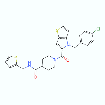 O=C(NCc1cccs1)C1CCN(C(=O)c2cc3sccc3n2Cc2ccc(Cl)cc2)CC1